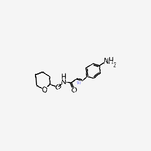 Nc1ccc(/C=C/C(=O)NOC2CCCCO2)cc1